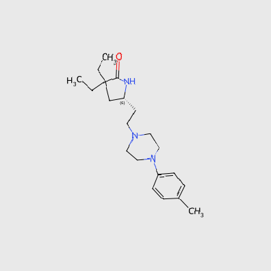 CCC1(CC)C[C@@H](CCN2CCN(c3ccc(C)cc3)CC2)NC1=O